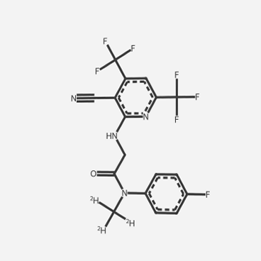 [2H]C([2H])([2H])N(C(=O)CNc1nc(C(F)(F)F)cc(C(F)(F)F)c1C#N)c1ccc(F)cc1